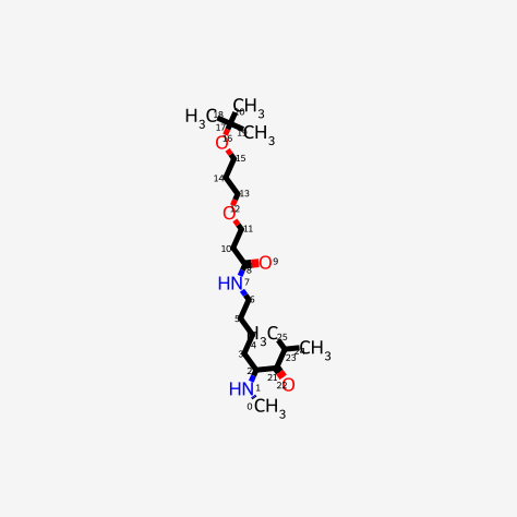 CNC(CCCCNC(=O)CCOCCCOC(C)(C)C)C(=O)C(C)C